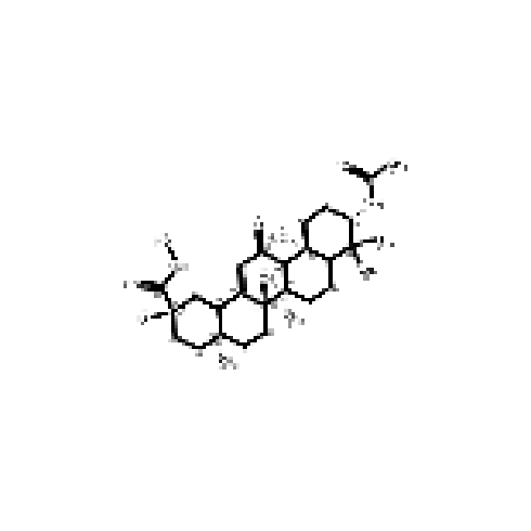 CC(=O)N[C@H]1CC[C@@]2(C)C(CC[C@]3(C)C2C(=O)C=C2C4C[C@@](C)(C(=O)NO)CC[C@]4(C)CC[C@]23C)C1(C)C